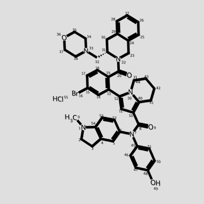 CN1CCc2cc(N(C(=O)c3cc(-c4cc(Br)ccc4C(=O)N4Cc5ccccc5C[C@H]4CN4CCOCC4)n4c3CCCC4)c3ccc(O)cc3)ccc21.Cl